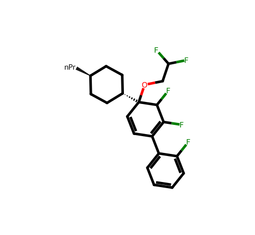 CCC[C@H]1CC[C@H](C2(OCC(F)F)C=CC(c3ccccc3F)=C(F)C2F)CC1